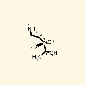 CC(O)S(=O)(=O)CCN